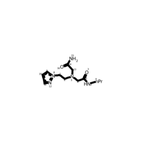 CCCNC(=O)CN(CCn1cccn1)CC(N)=O